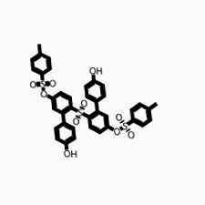 Cc1ccc(S(=O)(=O)Oc2ccc(S(=O)(=O)c3ccc(OS(=O)(=O)c4ccc(C)cc4)cc3-c3ccc(O)cc3)c(-c3ccc(O)cc3)c2)cc1